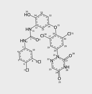 O=C(Nc1ccc(Cl)c(Cl)c1)Nc1cc(Oc2c(Cl)cc(-n3ncc(=O)[nH]c3=O)cc2Cl)ccc1O